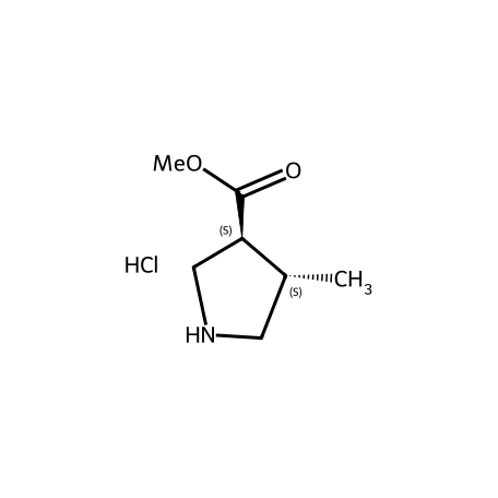 COC(=O)[C@@H]1CNC[C@H]1C.Cl